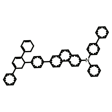 C1=CCCC(C2=CC=C(c3ccccc3)CC2c2ccc(-c3ccc4c(ccc5cc(N(c6ccccc6)c6ccc(-c7ccccc7)cc6)ccc54)c3)cc2)=C1